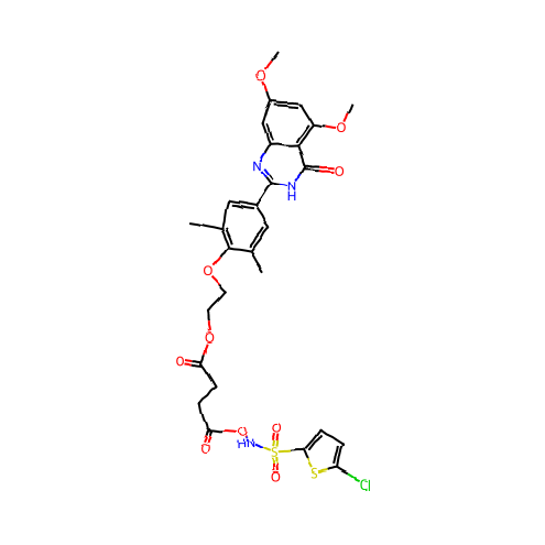 COc1cc(OC)c2c(=O)[nH]c(-c3cc(C)c(OCCOC(=O)CCC(=O)ONS(=O)(=O)c4ccc(Cl)s4)c(C)c3)nc2c1